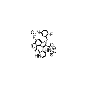 CS(=O)(=O)NC(=O)c1c(-c2ccc[nH]c2=O)c2c3occc3c(F)cc2n1Cc1cc([N+](=O)[O-])ccc1F